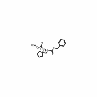 CC(C)(C)OC(=O)NC1(CNC(=O)OCc2ccccc2)CCCC1